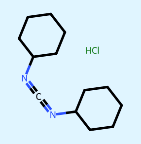 C(=NC1CCCCC1)=NC1CCCCC1.Cl